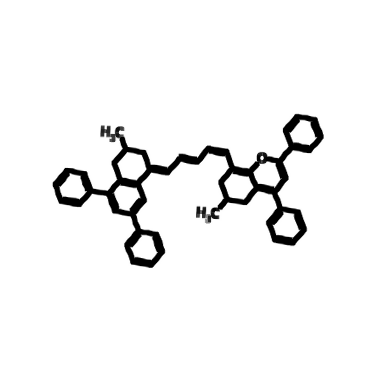 CC1CC(\C=C/C=C/C=C2\CC(C)Cc3c2cc(-c2ccccc2)cc3-c2ccccc2)=C2OC(c3ccccc3)=CC(c3ccccc3)=C2C1